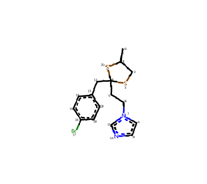 CC1CSC(CCn2ccnc2)(Cc2ccc(Br)cc2)S1